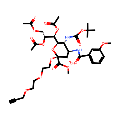 C#CCOCCOCCO[C@@]1(C(=O)OC)O[C@@H]([C@H](OC(C)=O)[C@@H](COC(C)=O)OC(C)=O)[C@H](NC(=O)OC(C)(C)C)[C@@H](NC(=O)c2cccc(OC)c2)[C@@H]1O